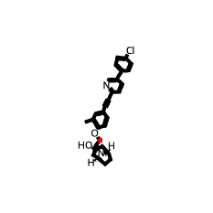 Cc1cc(C#Cc2ccc(-c3ccc(Cl)cc3)cn2)ccc1OCCN1[C@@H]2CC[C@H]1C[C@@](C)(O)C2